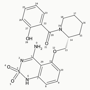 NC1=NS(=O)(=O)Nc2cccc(OC[C@H]3CCCCN3C(=O)c3ccccc3O)c21